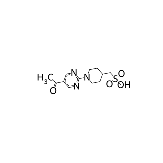 CC(=O)c1cnc(N2CCC(CS(=O)(=O)O)CC2)nc1